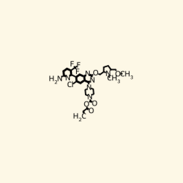 C=CC(=O)OC(=O)N1CCN(c2nc(OCC3CCC(COC)N3C)nc3cc(-c4nc(N)ccc4C(F)(F)F)c(Cl)cc23)CC1